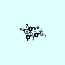 CCOc1cc(CC(N)=O)cc(CNc2ccc(C)cc2C(=O)Nc2ccc(C(=N)N)cc2)c1OCC(=O)O